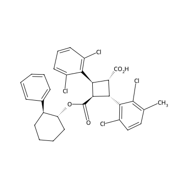 Cc1ccc(Cl)c([C@H]2[C@@H](C(=O)O)[C@H](c3c(Cl)cccc3Cl)[C@@H]2C(=O)O[C@@H]2CCCC[C@H]2c2ccccc2)c1Cl